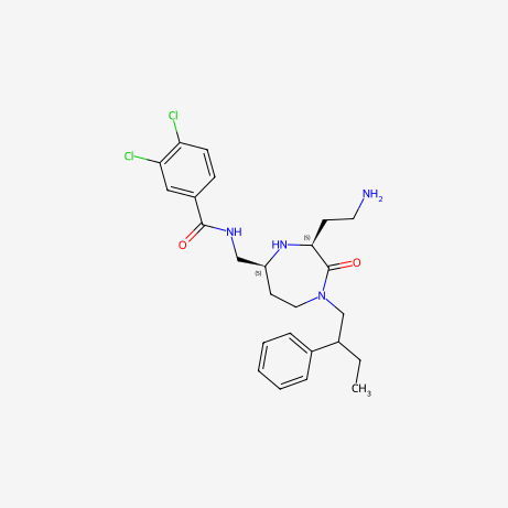 CCC(CN1CC[C@@H](CNC(=O)c2ccc(Cl)c(Cl)c2)N[C@@H](CCN)C1=O)c1ccccc1